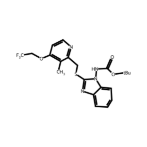 Cc1c(OCC(F)(F)F)ccnc1CSc1nc2ccccc2n1NC(=O)OC(C)(C)C